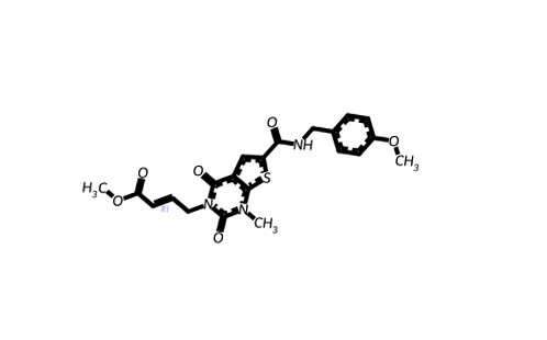 COC(=O)/C=C/Cn1c(=O)c2cc(C(=O)NCc3ccc(OC)cc3)sc2n(C)c1=O